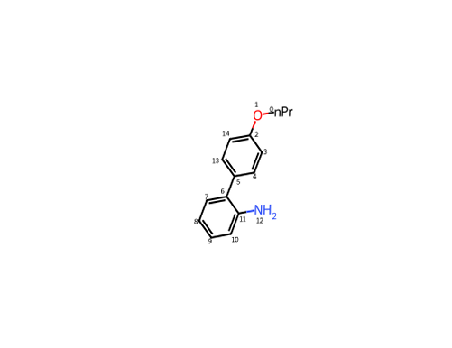 CCCOc1ccc(-c2ccccc2N)cc1